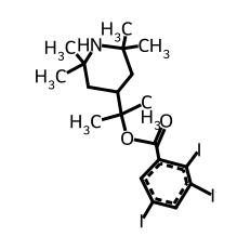 CC1(C)CC(C(C)(C)OC(=O)c2cc(I)cc(I)c2I)CC(C)(C)N1